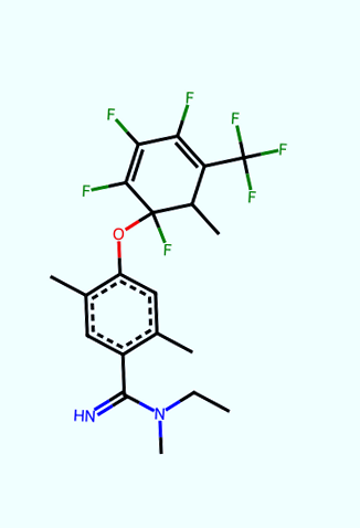 CCN(C)C(=N)c1cc(C)c(OC2(F)C(F)=C(F)C(F)=C(C(F)(F)F)C2C)cc1C